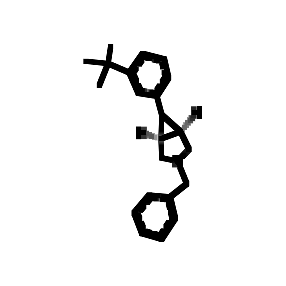 CC(C)(C)c1cccc(C2[C@H]3CN(Cc4ccccc4)C[C@@H]23)c1